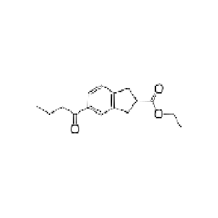 CCCC(=O)c1ccc2c(c1)CC(C(=O)OCC)C2